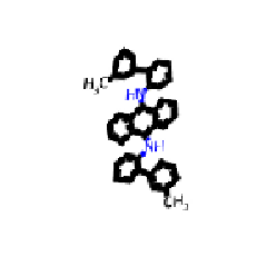 Cc1cccc(-c2ccccc2Nc2c3ccccc3c(Nc3ccccc3-c3cccc(C)c3)c3ccccc23)c1